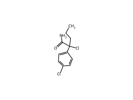 CCCC(Cl)(C(N)=O)c1ccc(Cl)cc1